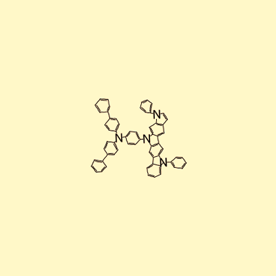 c1ccc(-c2ccc(N(c3ccc(-c4ccccc4)cc3)c3ccc(-n4c5cc6c7ccccc7n(-c7ccccc7)c6cc5c5cc6ccn(-c7ccccc7)c6cc54)cc3)cc2)cc1